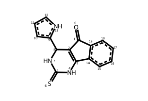 O=C1C2=C(NC(=S)NC2c2ccc[nH]2)c2ccccc21